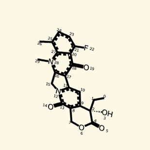 CC[C@@]1(O)C(=O)OCc2c1cc1n(c2=O)Cc2c-1c(=O)c1c(F)ccc(C)c1n2C